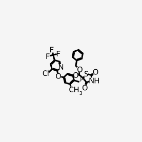 Cc1cc(Oc2ncc(C(F)(F)F)cc2Cl)ccc1C[C@]1(C(=O)OCc2ccccc2)SC(=O)NC1=O